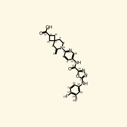 C=C1CC2(CCN1c1ccc(NC(=O)c3nnc(Nc4ccc(F)c(F)c4)o3)cn1)CC(C(=O)O)C2